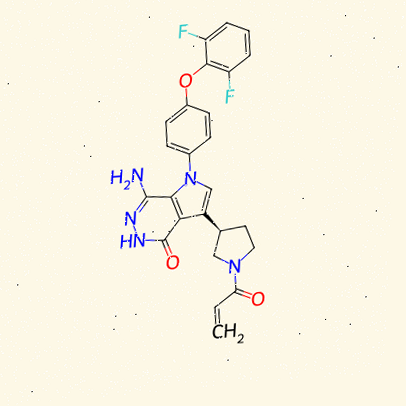 C=CC(=O)N1CC[C@H](c2cn(-c3ccc(Oc4c(F)cccc4F)cc3)c3c(N)n[nH]c(=O)c23)C1